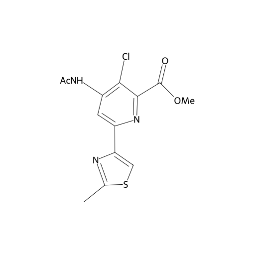 COC(=O)c1nc(-c2csc(C)n2)cc(NC(C)=O)c1Cl